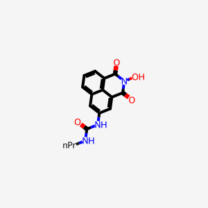 CCCNC(=O)Nc1cc2c3c(cccc3c1)C(=O)N(O)C2=O